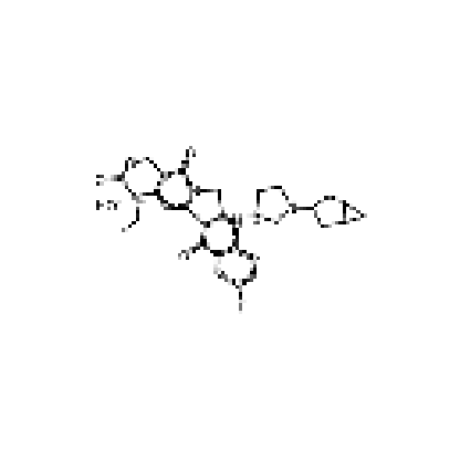 CC[C@@]1(O)C(=O)OCc2c1cc1n(c2=O)Cc2c-1c(=O)c1cc(F)ccc1n2[C@@H]1CCN(C2CC3CC3C2)C1